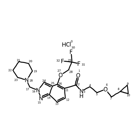 Cl.O=C(NCCOCC1CC1)c1ccc2nn(CN3CCCCC3)cc2c1OCC(F)(F)F